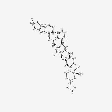 CC[C@]1(O)CN(C2COC2)CCN1c1ccc(Nc2cc(-c3ccnc(-n4ccn5c6c(cc5c4=O)CC(C)(C)C6)c3CO)cn(C)c2=O)nn1